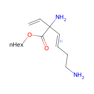 C=CC(N)(/C=C/CCN)C(=O)OCCCCCC